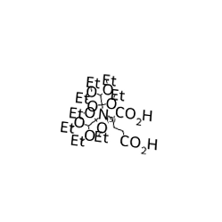 CCOC(OCC)C(OCC)(OCC)N([C@@H](CCC(=O)O)C(=O)O)C(OCC)(OCC)C(OCC)OCC